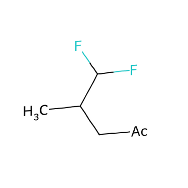 CC(=O)CC(C)C(F)F